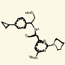 COCC(NC(=O)c1cc(OC)nc(N2CCCC2)n1)c1ccc(C2CC2)cc1